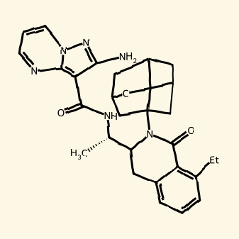 CCc1cccc2c1C(=O)N(C13CC4CC5CC(C1)C53C4)C([C@H](C)NC(=O)c1c(N)nn3cccnc13)C2